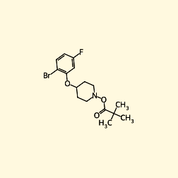 CC(C)(C)C(=O)ON1CCC(Oc2cc(F)ccc2Br)CC1